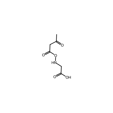 CC(=O)CC(=O)ONCC(=O)O